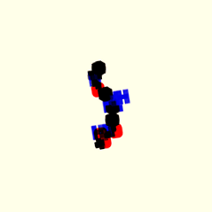 CCN(CCOc1ccc(Nc2ncc(-c3ccc(C(=O)NCC(=O)OC(C)(C)C)cc3)cn2)cc1)Cc1ccccc1